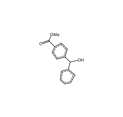 COC(=O)c1ccc(C(O)c2ccccc2)cc1